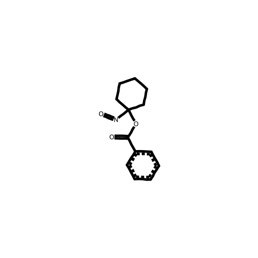 O=NC1(OC(=O)c2ccccc2)CCCCC1